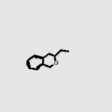 CCC1Cc2ccccc2CO1